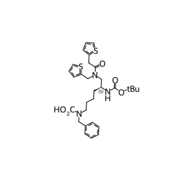 CC(C)(C)OC(=O)N[C@@H](CCCCN(Cc1ccccc1)C(=O)O)CN(Cc1cccs1)C(=O)Cc1cccs1